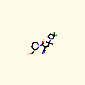 CC(C)(/C=C(/C#N)C(=O)N1CCC[C@H](CO)C1)N1CCC(F)(F)C1